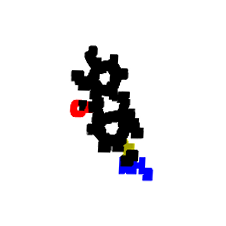 Cc1cccc(C(=O)c2ccc(SN)c(C)c2C)c1C